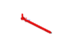 CCCCCCCCCCCC(CCCCCCCCCCC(=O)NCCOCCOCCOCCOCCOCCOCCOCCOCCOCCOCCOCCOCCOCCOCCOCCOCCOCCOCCOCCOCCOCCOCCOCCC)(C(=O)O)C(=O)O